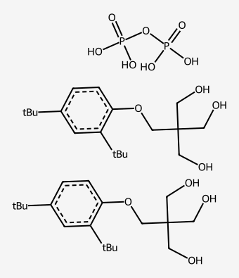 CC(C)(C)c1ccc(OCC(CO)(CO)CO)c(C(C)(C)C)c1.CC(C)(C)c1ccc(OCC(CO)(CO)CO)c(C(C)(C)C)c1.O=P(O)(O)OP(=O)(O)O